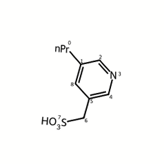 CCCc1cncc(CS(=O)(=O)O)c1